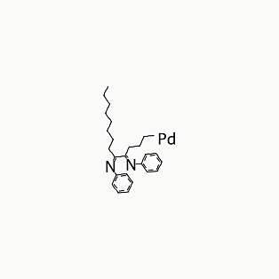 CCCCCCCCC(=Nc1ccccc1)C(CCCC)=Nc1ccccc1.[Pd]